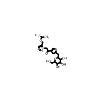 CC(C)OCc1cnnn1CC(=O)C1=CN=C(CC2OC(CO)C(O)C(O)C2O)C1